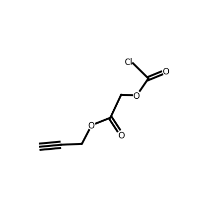 C#CCOC(=O)COC(=O)Cl